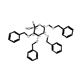 O[C@@]1(F)O[C@H](COCc2ccccc2)[C@H](OCc2ccccc2)[C@H](OCc2ccccc2)[C@H]1OCc1ccccc1